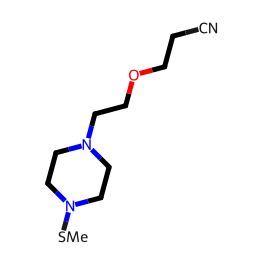 CSN1CCN(CCOCCC#N)CC1